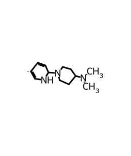 CN(C)C1CCN(C2C=C[C]=CN2)CC1